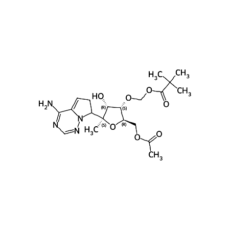 CC(=O)OC[C@H]1O[C@@](C)(C2CC=C3C(N)=NC=NN32)[C@H](O)[C@@H]1OCOC(=O)C(C)(C)C